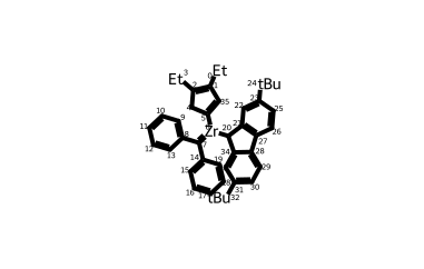 CCC1=C(CC)C[C]([Zr](=[C](c2ccccc2)c2ccccc2)[CH]2c3cc(C(C)(C)C)ccc3-c3ccc(C(C)(C)C)cc32)=C1